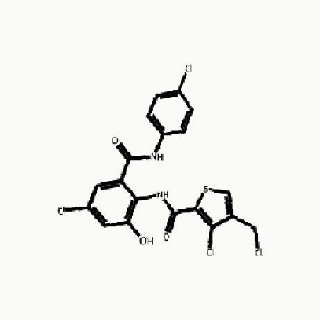 O=C(Nc1ccc(Cl)cc1)c1cc(Cl)cc(O)c1NC(=O)c1scc(CCl)c1Cl